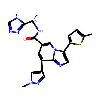 Cc1ccc(-c2cnc3c(-c4cnn(C)c4)cc(C(=O)N[C@@H](C)c4nnc[nH]4)cn23)s1